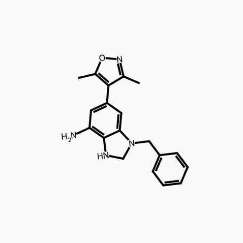 Cc1noc(C)c1-c1cc(N)c2c(c1)N(Cc1ccccc1)CN2